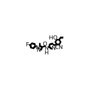 C=CC1CCC(C#N)(c2ccc(NC(=O)c3cnn(-c4ccc(F)cc4)c3C)cn2)CC1O